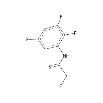 FCC(=S)Nc1cc(F)cc(F)c1F